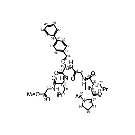 COC(=O)CNC(=O)[C@H](CC(C)C)NC(=O)[C@@H](NC(=O)CNC(=O)[C@H](CC(C)C)NC(=O)[C@@H]1CCCN1C(C)=O)OCc1ccc(-c2ccccc2)cc1